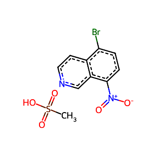 CS(=O)(=O)O.O=[N+]([O-])c1ccc(Br)c2ccncc12